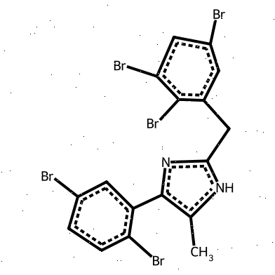 Cc1[nH]c(Cc2cc(Br)cc(Br)c2Br)nc1-c1cc(Br)ccc1Br